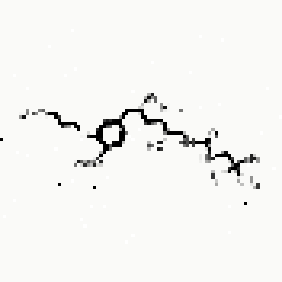 CCCC(C)(C)CNC(=O)NC[C@H](O)[C@@H](N)C[C@H](Cc1ccc(OC)c(OCCCOC)c1)C(C)C